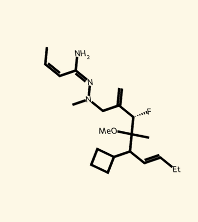 C=C(CN(C)/N=C(N)\C=C/C)[C@H](F)C(C)(OC)C(C=CCC)C1CCC1